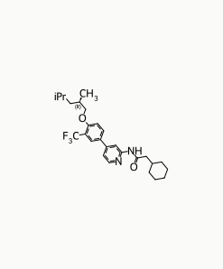 CC(C)C[C@@H](C)COc1ccc(-c2ccnc(NC(=O)CC3CCCCC3)c2)cc1C(F)(F)F